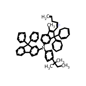 C=CC/C=C\C1=C(C)c2ccc(N(c3ccc(C(C)(C)CC)cc3)c3ccc4c(c3)C(c3ccccc3)(c3ccccc3)c3ccccc3-4)cc2C1(C1=CC=CCC=C1)C1=CCC=CC=C1